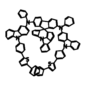 c1ccc(-c2ccc(-c3ccc(-n4c5ccccc5c5cc(N(c6ccccc6)c6ccc7c(c6)C6(c8cc(N(c9ccccc9)c9ccc%10c(c9)c9ccccc9n%10-c9ccc(-c%10ccc(-c%11ccccc%11)s%10)cc9)ccc8-7)c7ccccc7-n7c8ccccc8c8cccc6c87)ccc54)cc3)s2)cc1